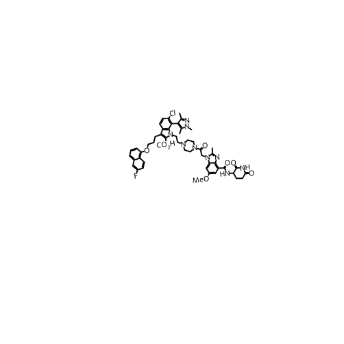 COc1cc(C(=O)NC2CCC(=O)NC2=O)c2nc(C)n(CC(=O)N3CCN(CCn4c(C(=O)O)c(CCCOc5cccc6cc(F)ccc56)c5ccc(Cl)c(-c6c(C)nn(C)c6C)c54)CC3)c2c1